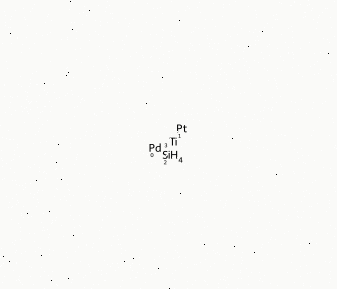 [Pd].[Pt].[SiH4].[Ti]